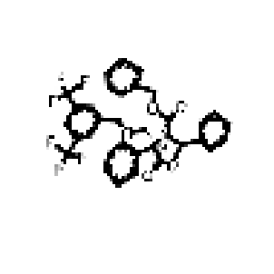 O=C(OCc1ccccc1)N1C(c2ccccc2)OC(=O)[C@@]1(COCc1cc(C(F)(F)F)cc(C(F)(F)F)c1)c1ccccc1